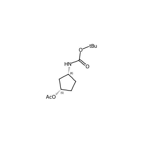 CC(=O)O[C@H]1CC[C@@H](NC(=O)OC(C)(C)C)C1